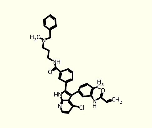 C=CC(=O)Nc1cc(-c2c(-c3cccc(C(=O)NCCCN(C)Cc4ccccc4)c3)[nH]c3nccc(Cl)c23)ccc1C